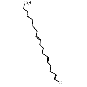 CCC=CCCC=CCCCC=CCCCCCCC(=O)O